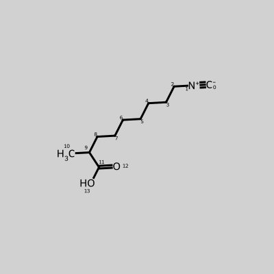 [C-]#[N+]CCCCCCCC(C)C(=O)O